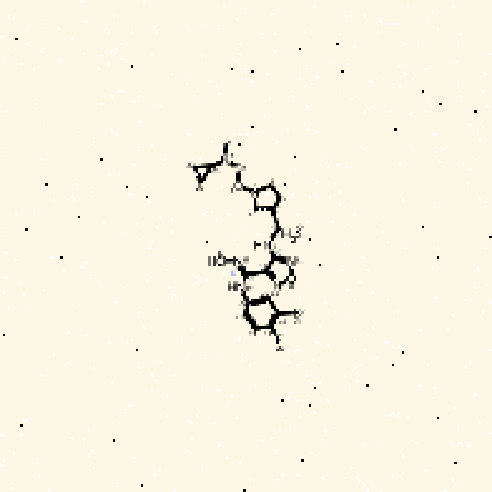 CN(SON1CCC(CNc2nonc2/C(=N/O)Nc2ccc(F)c(Br)c2)C1)C1CC1.S